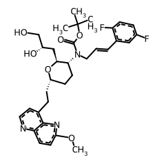 COc1ccc2nccc(CC[C@H]3CC[C@@H](N(C/C=C/c4cc(F)ccc4F)C(=O)OC(C)(C)C)[C@H](C[C@H](O)CO)O3)c2n1